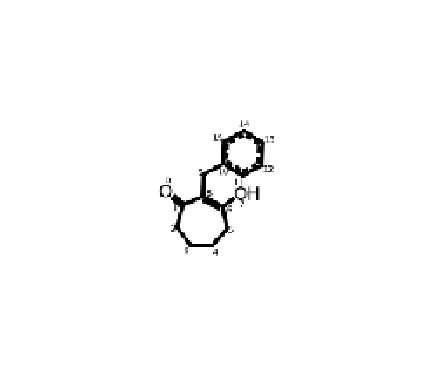 O=C1CCCCC(O)=C1Cc1ccccc1